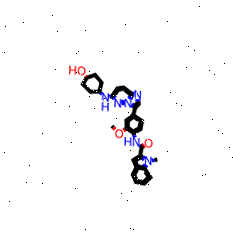 COc1cc(-c2cnc3ccc(NC4CCC(O)CC4)nn23)ccc1NC(=O)c1cc2ccccc2n1C